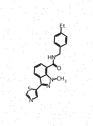 CCc1ccc(CNC(=O)c2cccc3c(-c4cncs4)nn(C)c23)cc1